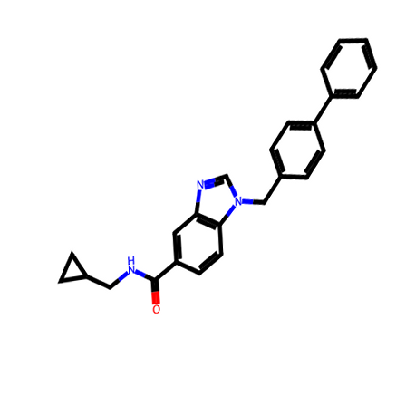 O=C(NCC1CC1)c1ccc2c(c1)ncn2Cc1ccc(-c2ccccc2)cc1